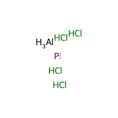 Cl.Cl.Cl.Cl.[AlH3].[P]